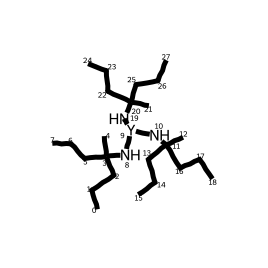 CCCC(C)(CCC)[NH][Y]([NH]C(C)(CCC)CCC)[NH]C(C)(CCC)CCC